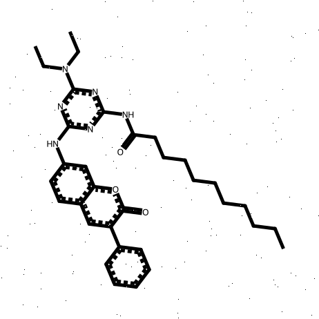 CCCCCCCCCCC(=O)Nc1nc(Nc2ccc3cc(-c4ccccc4)c(=O)oc3c2)nc(N(CC)CC)n1